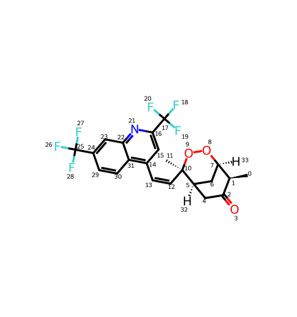 C[C@H]1C(=O)C[C@@H]2C[C@H]1OO[C@]2(C)/C=C\c1cc(C(F)(F)F)nc2cc(C(F)(F)F)ccc12